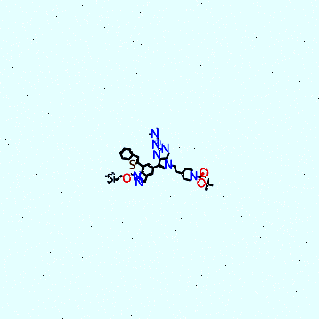 CN(C)/C=N/c1ncc2c(n1)c(-c1cc(-c3cc4ccccc4s3)c3c(cnn3COCC[Si](C)(C)C)c1)cn2CCC1CCN(C(=O)OC(C)(C)C)CC1